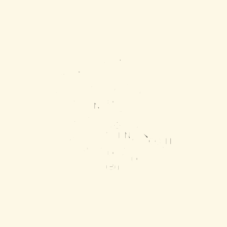 CC(C)(C)OC(=O)N[C@@H](CC(Cc1ccccc1)C(=O)ON(C1CCCCC1)C1CCCCC1)C(=O)O